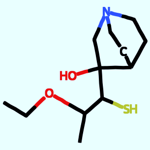 CCOC(C)C(S)C1(O)CN2CCC1CC2